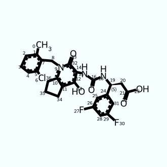 Cc1cccc(Cl)c1Cn1c2c(c(O)c(NC(=O)N[C@@H](CC(=O)O)c3cc(F)cc(F)c3)c1=O)CCC2